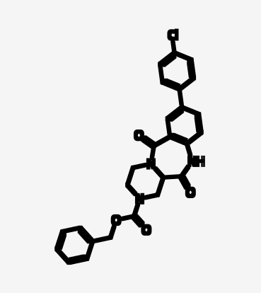 O=C1Nc2ccc(-c3ccc(Cl)cc3)cc2C(=O)N2CCN(C(=O)OCc3ccccc3)CC12